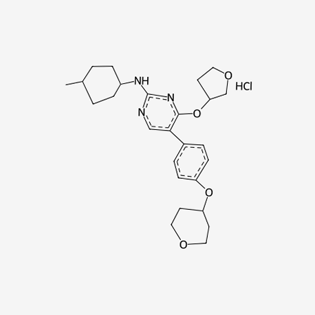 CC1CCC(Nc2ncc(-c3ccc(OC4CCOCC4)cc3)c(OC3CCOC3)n2)CC1.Cl